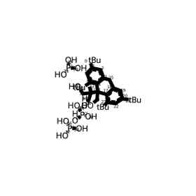 CC(C)(C)c1cc2c(c(C(C)(C)C)c1)C(CO)(C(C)(CO)CO)c1c(cc(C(C)(C)C)cc1C(C)(C)C)C2.OP(O)O.OP(O)O.OP(O)O